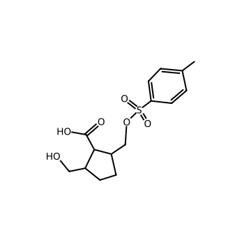 Cc1ccc(S(=O)(=O)OCC2CCC(CO)C2C(=O)O)cc1